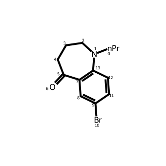 CCCN1CCCC(=O)c2cc(Br)ccc21